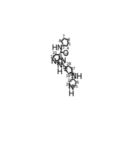 O=C(Nc1ccccc1)c1ccnc2[nH]c(-c3ccc(NC4CCNCC4)cc3)nc12